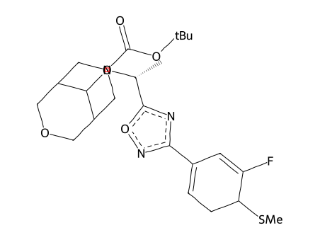 CSC1CC=C(c2noc([C@@H](C)OC3C4COCC3CN(C(=O)OC(C)(C)C)C4)n2)C=C1F